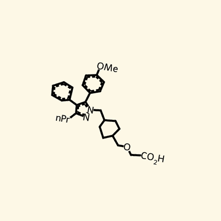 CCCc1nn(CC2CCC(COCC(=O)O)CC2)c(-c2ccc(OC)cc2)c1-c1ccccc1